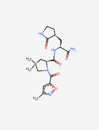 Cc1cc(C(=O)N2C[Si](C)(C)C[C@H]2C(=O)N[C@@H](C[C@@H]2CCNC2=O)C(N)=O)on1